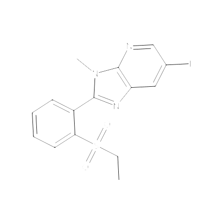 CCS(=O)(=O)c1ccccc1-c1nc2cc(I)cnc2n1C